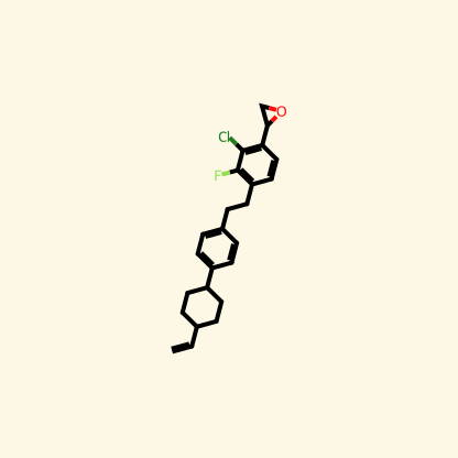 C=CC1CCC(c2ccc(CCc3ccc(C4CO4)c(Cl)c3F)cc2)CC1